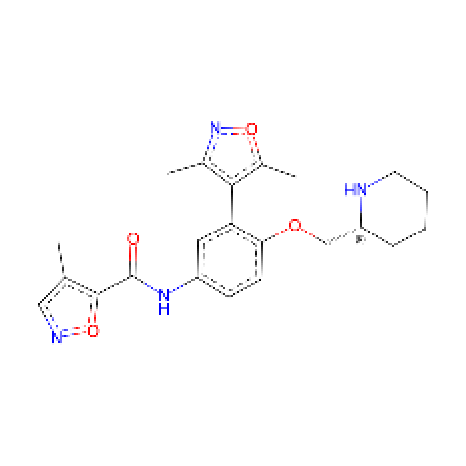 Cc1cnoc1C(=O)Nc1ccc(OC[C@H]2CCCCN2)c(-c2c(C)noc2C)c1